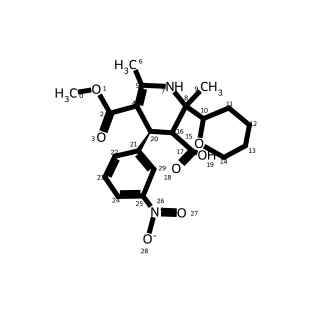 COC(=O)C1=C(C)NC(C)(C2CCCCO2)C(C(=O)O)[C@H]1c1cccc([N+](=O)[O-])c1